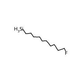 FCCCCCCCCCC[SiH3]